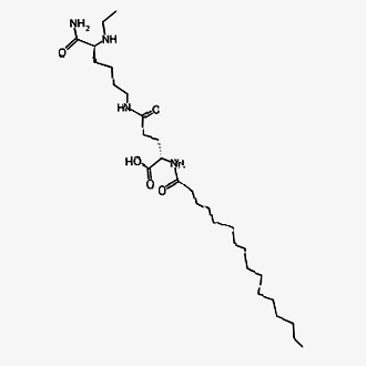 CCCCCCCCCCCCCCCC(=O)N[C@@H](CCC(=O)NCCCC[C@H](NCC)C(N)=O)C(=O)O